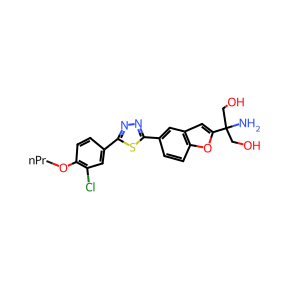 CCCOc1ccc(-c2nnc(-c3ccc4oc(C(N)(CO)CO)cc4c3)s2)cc1Cl